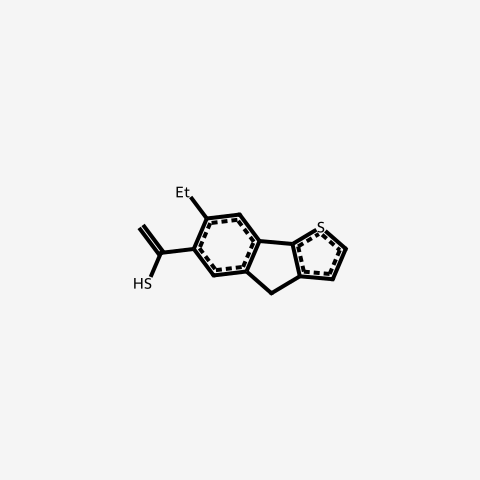 C=C(S)c1cc2c(cc1CC)-c1sccc1C2